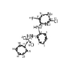 O=S(=O)(Nc1ccccc1Nc1nc(Cl)ncc1F)c1ccccc1